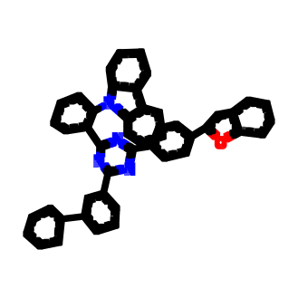 c1ccc(-c2cccc(-c3nc(-c4ccc(-c5cc6ccccc6o5)cc4)nc(-c4ccccc4-n4c5ccccc5c5ccccc54)n3)c2)cc1